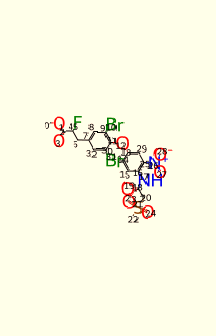 COC(=O)C(F)Cc1cc(Br)c(Oc2ccc(NC(=O)CS(C)(=O)=O)c([N+](=O)[O-])c2)c(Br)c1